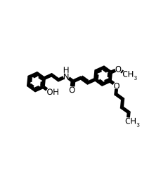 CCCCCOc1cc(C=CC(=O)NCCc2ccccc2O)ccc1OC